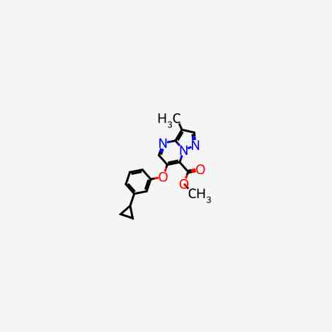 COC(=O)c1c(Oc2cccc(C3CC3)c2)cnc2c(C)cnn12